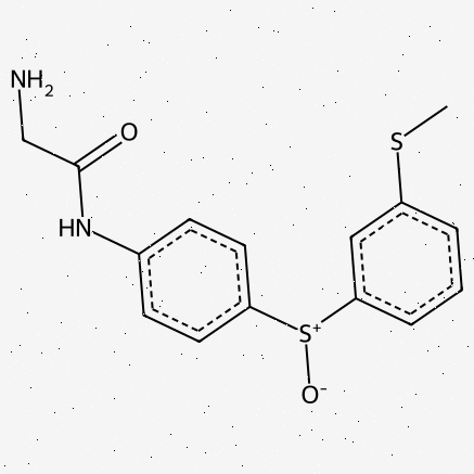 CSc1cccc([S+]([O-])c2ccc(NC(=O)CN)cc2)c1